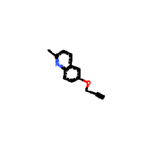 C#CCOc1ccc2nc(C)ccc2c1